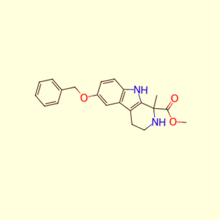 COC(=O)C1(C)NCCc2c1[nH]c1ccc(OCc3ccccc3)cc21